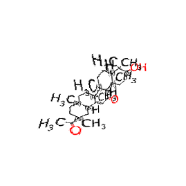 CC(=O)[C@@]1(C)CC[C@@]2(C)CC[C@@]3(C)C(=CC(=O)[C@H]4[C@]5(C)CC[C@H](O)C(C)(C)[C@H]5CC[C@@]43C)[C@H]2C1